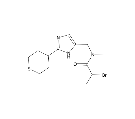 CC(Br)C(=O)N(C)Cc1cnc(C2CCSCC2)[nH]1